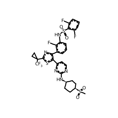 CS(=O)(=O)[C@H]1CC[C@@H](Nc2nccc(-c3sc(C4(C(F)(F)F)CC4)nc3-c3cccc(NS(=O)(=O)c4c(F)cccc4F)c3F)n2)CC1